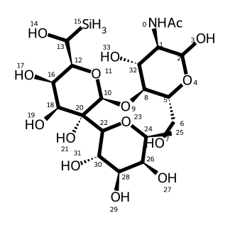 CC(=O)N[C@H]1C(O)O[C@H](CO)[C@@H](O[C@@H]2O[C@H](C(O)[SiH3])[C@H](O)[C@H](O)[C@]2(O)C2O[C@@H](C)[C@@H](O)[C@@H](O)[C@@H]2O)[C@@H]1O